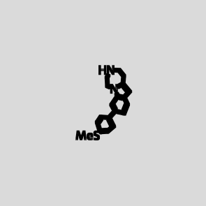 CSc1ccc(-c2ccc3cc4n(c3c2)CCNCC4)cc1